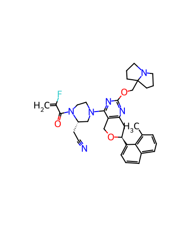 C=C(F)C(=O)N1CCN(c2nc(OCC34CCCN3CCC4)nc3c2CO[C@H](c2cccc4cccc(C)c24)C3)C[C@@H]1CC#N